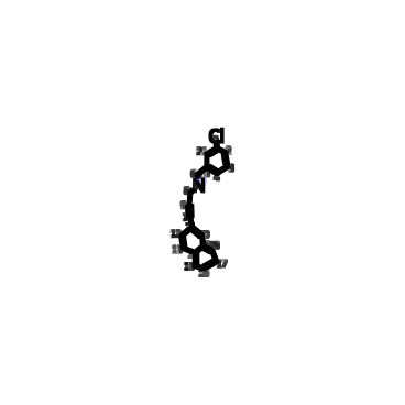 Clc1cccc(/C=N/CC#Cc2ccc3ccccc3c2)c1